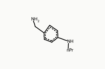 CCCNc1ccc(CN)cc1